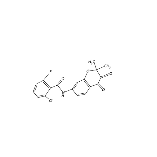 CC1(C)Oc2cc(NC(=O)c3c(F)cccc3Cl)ccc2C(=O)C1=O